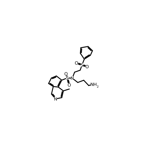 Cc1cncc2cccc(S(=O)(=O)N(CCCN)CCS(=O)(=O)c3ccccc3)c12